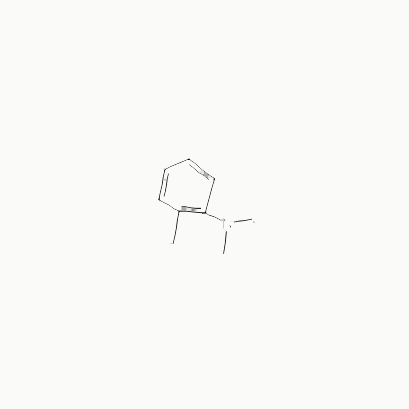 Cc1[c]cccc1N(C)C